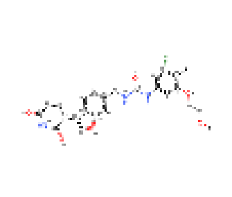 COCCOc1cc(NC(=O)NCc2ccc3c(C4CCC(=O)NC4=O)coc3c2)cc(Cl)c1C